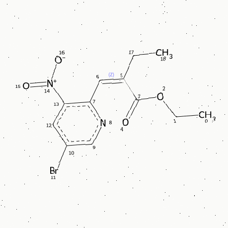 CCOC(=O)/C(=C\c1ncc(Br)cc1[N+](=O)[O-])CC